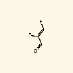 O=CC(F)=CF